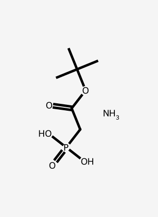 CC(C)(C)OC(=O)CP(=O)(O)O.N